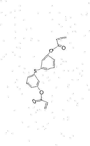 C=CC(=O)Oc1cccc(Sc2cccc(OC(=O)C=C)c2)c1